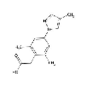 Cc1cnn(-c2cc(C)c(CC(=O)O)c(C)c2)c1